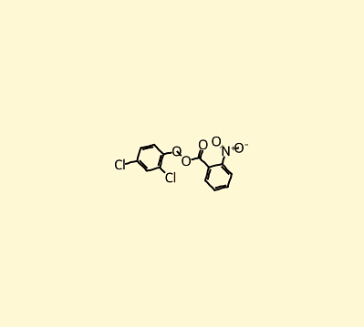 O=C(OOc1ccc(Cl)cc1Cl)c1ccccc1[N+](=O)[O-]